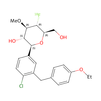 CCOc1ccc(Cc2cc([C@@H]3O[C@H](CO)[C@@H]([18F])[C@H](OC)[C@H]3O)ccc2Cl)cc1